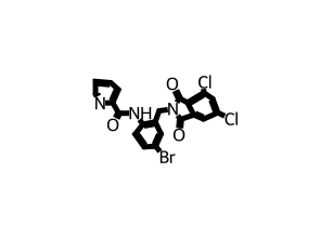 O=C(Nc1ccc(Br)cc1CN1C(=O)c2cc(Cl)cc(Cl)c2C1=O)c1ccccn1